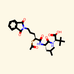 CC(=O)S[C@@H](CCCN1C(=O)c2ccccc2C1=O)C(=O)N[C@@H](CC(C)C)C(=O)N[C@H](C(=O)O)C(C)(C)C